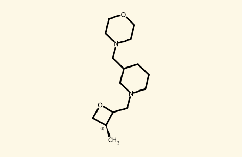 C[C@H]1COC1CN1CCCC(CN2CCOCC2)C1